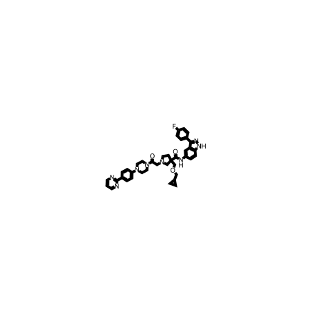 O=C(CN1CCC(COCC2CC2)(C(=O)Nc2ccc3[nH]nc(-c4ccc(F)cc4)c3c2)C1)N1CCN(c2ccc(-c3ncccn3)cc2)CC1